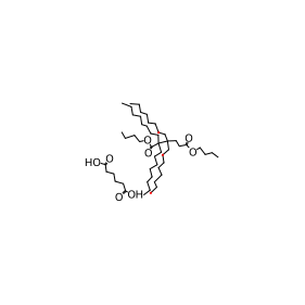 CCCCCCCCC(CCCCCCCC)(CCC(=O)OCCCC)C(CCCCCCCC)(CCCCCCCC)C(=O)OCCCC.O=C(O)CCCCC(=O)O